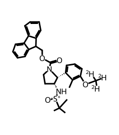 [2H]C([2H])([2H])Oc1cccc([C@@H]2[C@H](N[S@+]([O-])C(C)(C)C)CCN2C(=O)OCC2c3ccccc3-c3ccccc32)c1C